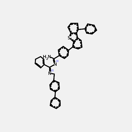 N/C(=N\C(=N/Cc1ccc(-c2ccccc2)cc1)C1=CCCC=C1)c1ccc(-c2cccc3c2sc2cccc(-c4ccccc4)c23)cc1